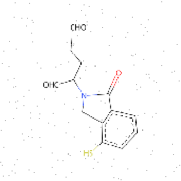 O=CCCC(C=O)N1Cc2c(S)cccc2C1=O